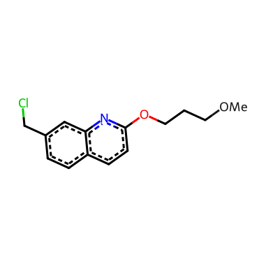 COCCCOc1ccc2ccc(CCl)cc2n1